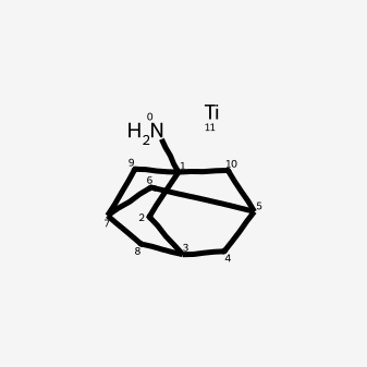 NC12CC3CC(CC(C3)C1)C2.[Ti]